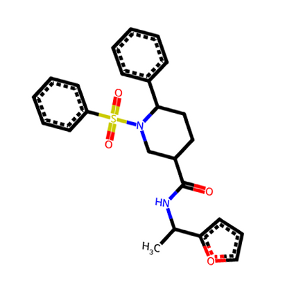 CC(NC(=O)C1CCC(c2ccccc2)N(S(=O)(=O)c2ccccc2)C1)c1ccco1